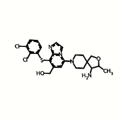 CC1OCC2(CCN(c3cc(CO)c(Sc4cccc(Cl)c4Cl)c4nccn34)CC2)C1N